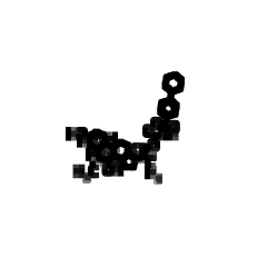 CC[C@H]1[C@@H](O)[C@@H]2[C@H](CC[C@]3(C)[C@@H]([C@H](C)COC(=O)NS(=O)(=O)c4ccc(C5CCCCC5)cc4)CC[C@@H]23)[C@@]2(C)CC[C@@H](O)C[C@@H]12